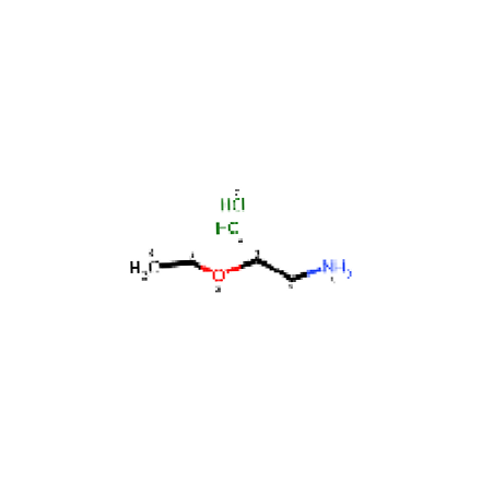 CCOCCN.Cl.Cl